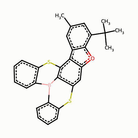 Cc1cc(C(C)(C)C)c2oc3cc4c5c(c3c2c1)Sc1ccccc1B5c1ccccc1S4